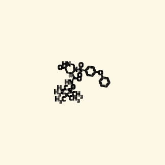 CC(C)(C)[Si](C)(C)ONC(=O)[C@H]1CC(=O)NCN1S(=O)(=O)c1ccc(Oc2ccccc2)cc1